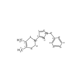 CC1=C(C)CN(c2ccn(Cc3ccccc3)n2)CC1